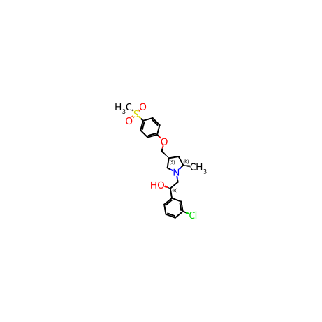 C[C@@H]1C[C@H](COc2ccc(S(C)(=O)=O)cc2)CN1C[C@H](O)c1cccc(Cl)c1